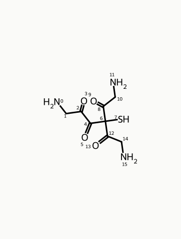 NCC(=O)C(=O)C(S)(C(=O)CN)C(=O)CN